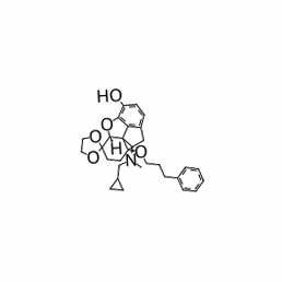 CN(CC1CC1)C12Cc3ccc(O)c4c3C13[C@@H](O4)C1(CC[C@]32OCCCc2ccccc2)OCCO1